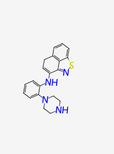 C1=C(Nc2ccccc2N2CCNCC2)c2nsc3cccc(c23)C1